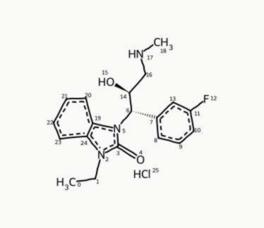 CCn1c(=O)n([C@@H](c2cccc(F)c2)[C@@H](O)CNC)c2ccccc21.Cl